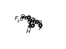 CC(c1c[nH]c2ccccc12)C(NC(=O)N1CCC(Oc2ccc(F)cc2)CC1)C(=O)N(C)c1cccc(CNC(=O)C(F)(F)F)c1